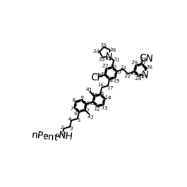 CCCCCNCCCCc1cccc(-c2cccc(CCc3cc(CCc4cncc(C#N)c4)c(CN4CCCC4)cc3Cl)c2C)c1C